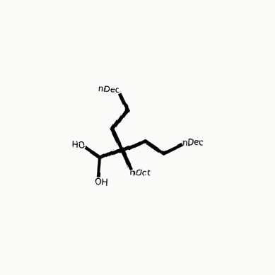 CCCCCCCCCCCCC(CCCCCCCC)(CCCCCCCCCCCC)C(O)O